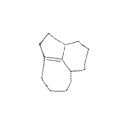 C1CC2=C3C(C1)CCCC3CC2